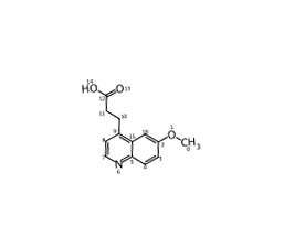 COc1ccc2nccc(CCC(=O)O)c2c1